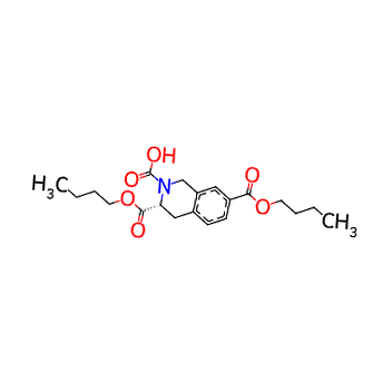 CCCCOC(=O)c1ccc2c(c1)CN(C(=O)O)[C@@H](C(=O)OCCCC)C2